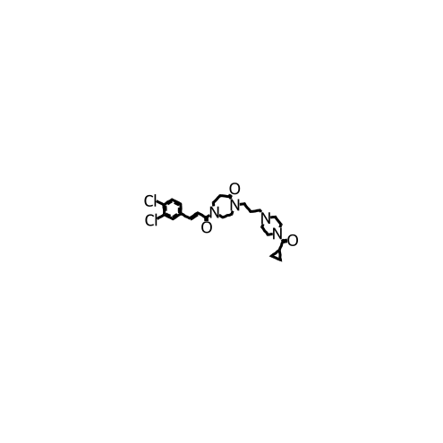 O=C(C=Cc1ccc(Cl)c(Cl)c1)N1CCC(=O)N(CCCN2CCN(C(=O)C3CC3)CC2)CC1